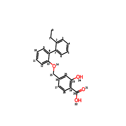 CCc1ccccc1-c1ccccc1OCc1ccc(C(=O)O)c(O)c1